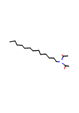 CCCCCCCCCCCCCN(C(C)O)C(C)O.Cl